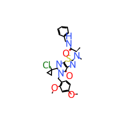 COc1ccc(Cn2c(C3(Cl)CC3)nc3sc(N(C)[C@H](C)C(=O)NCc4ccccc4)nc3c2=O)c(OC)c1